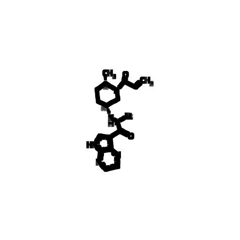 C=CC(=O)N1C[C@H](NN(CC)C(=O)c2c[nH]c3nccnc23)CC[C@@H]1C